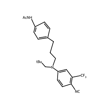 [C-]#[N+]c1ccc(N(CCCc2ccc(NC(C)=O)cc2)CC(C)(C)C)cc1C(F)(F)F